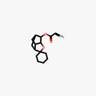 C=CC(=O)OC1C2CC3C1OC1(CCCCC1)C3C2